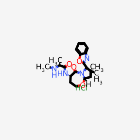 CN[C@@H](C)C(=O)N[C@H]1CCO[C@H]2CC(C)(C)C(c3nc4ccccc4o3)N2C1=O.Cl